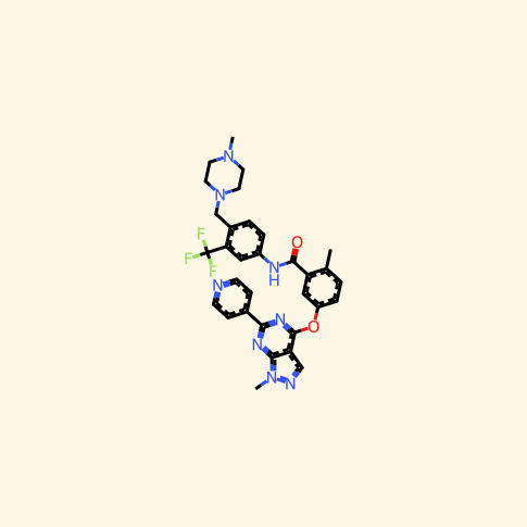 Cc1ccc(Oc2nc(-c3ccncc3)nc3c2cnn3C)cc1C(=O)Nc1ccc(CN2CCN(C)CC2)c(C(F)(F)F)c1